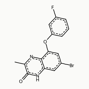 Cc1nc2c(Oc3cccc(F)c3)cc(Br)cc2[nH]c1=O